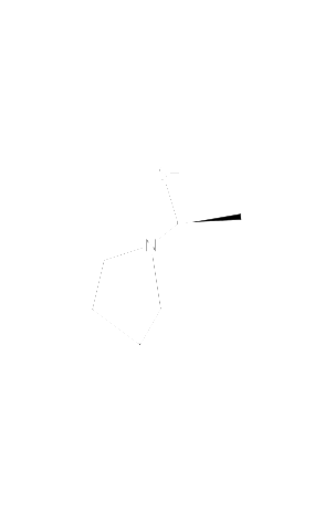 C[C@H](S)N1CCCC1